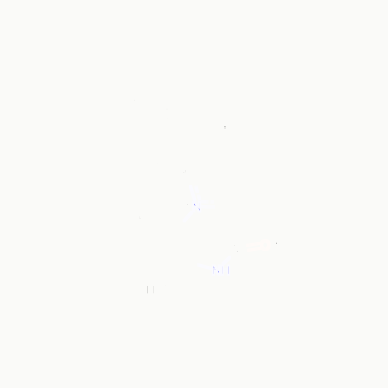 CC1NC(=O)c2cc3ccc(C(=O)O)cc3n2C1C